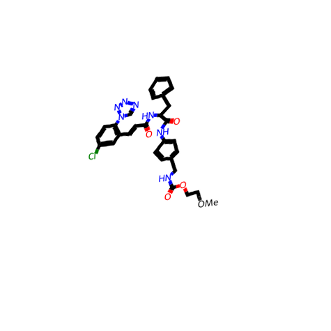 COCCOC(=O)NCc1ccc(NC(=O)C(Cc2ccccc2)NC(=O)C=Cc2cc(Cl)ccc2-n2cnnn2)cc1